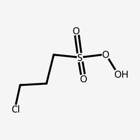 O=S(=O)(CCCCl)OO